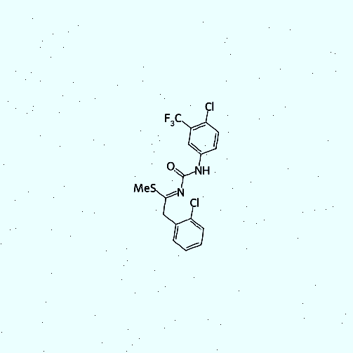 CSC(Cc1ccccc1Cl)=NC(=O)Nc1ccc(Cl)c(C(F)(F)F)c1